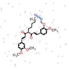 CCCCCC(C(=O)/C=C/c1ccc(OC)c(OC)c1)C(=O)/C=C/c1ccc(OC)c(OCN=[N+]=[N-])c1